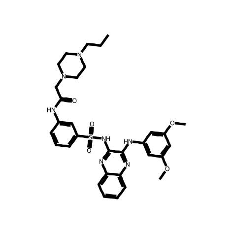 CCCN1CCN(CC(=O)Nc2cccc(S(=O)(=O)Nc3nc4ccccc4nc3Nc3cc(OC)cc(OC)c3)c2)CC1